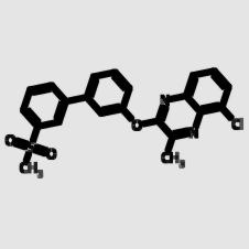 Cc1nc2c(Cl)cccc2nc1Oc1cccc(-c2cccc(S(C)(=O)=O)c2)c1